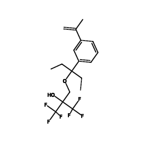 C=C(C)c1cccc(C(CC)(CC)OCC(O)(C(F)(F)F)C(F)(F)F)c1